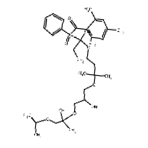 CCC(C)(OCCC(C)(C)OCC(O)COC(C)(C)COC(C)C)P(=O)(C(=O)c1c(C)cc(C)cc1C)c1ccccc1